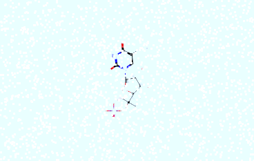 BC(B)(OP(=O)(O)O)[C@@]1(F)O[C@@](B)(n2cc(C=O)c(=O)[nH]c2=O)[C@H](O)[C@@H]1O